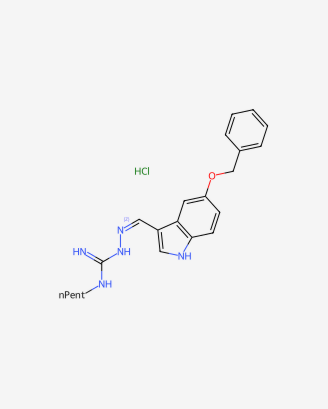 CCCCCNC(=N)N/N=C\c1c[nH]c2ccc(OCc3ccccc3)cc12.Cl